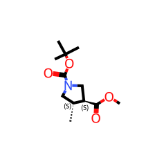 COC(=O)[C@@H]1CN(C(=O)OC(C)(C)C)C[C@H]1C